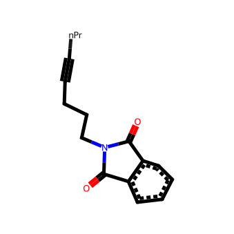 [CH2]CCC#CCCCN1C(=O)c2ccccc2C1=O